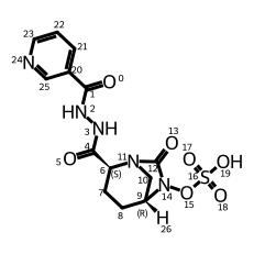 O=C(NNC(=O)[C@@H]1CC[C@@H]2CN1C(=O)N2OS(=O)(=O)O)c1cccnc1